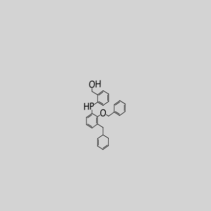 OCc1ccccc1Pc1cccc(CC2C=CC=CC2)c1OCc1ccccc1